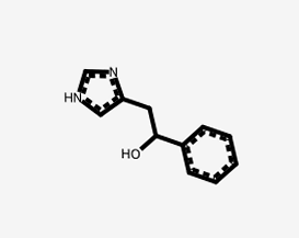 OC(Cc1c[nH]cn1)c1ccccc1